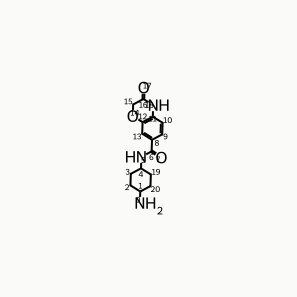 NC1CCC(NC(=O)c2ccc3c(c2)OCC(=O)N3)CC1